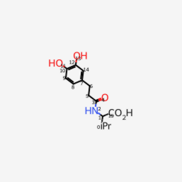 CC(C)C(NC(=O)CCc1ccc(O)c(O)c1)C(=O)O